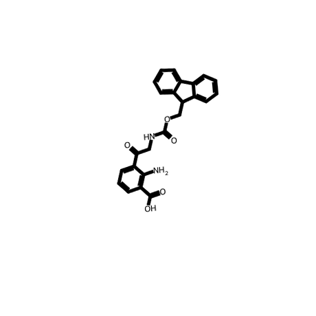 Nc1c(C(=O)O)cccc1C(=O)CNC(=O)OCC1c2ccccc2-c2ccccc21